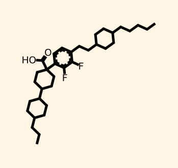 CCCCCC1CCC(CCc2ccc(C3(C(=O)O)CCC(C4CCC(CCC)CC4)CC3)c(F)c2F)CC1